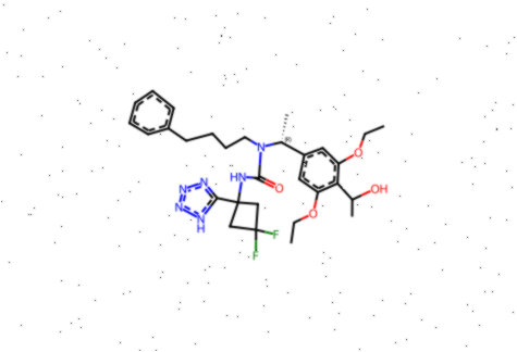 CCOc1cc([C@@H](C)N(CCCCc2ccccc2)C(=O)NC2(c3nnn[nH]3)CC(F)(F)C2)cc(OCC)c1C(C)O